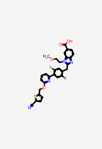 COCCn1c(Cc2cc(F)c(-c3cccc(OCc4ccc(C#N)s4)n3)cc2F)nc2ccc(C(=O)O)cc21